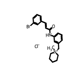 C[N+]1(Cc2cccc(NC(=O)C=Cc3cccc(Br)c3)c2)CCCCC1.[Cl-]